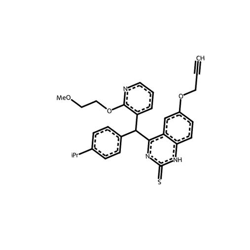 C#CCOc1ccc2[nH]c(=S)nc(C(c3ccc(C(C)C)cc3)c3cccnc3OCCOC)c2c1